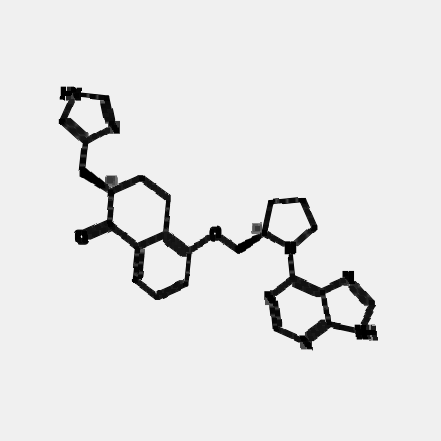 O=C1c2cccc(OC[C@H]3CCCN3c3ncnc4[nH]cnc34)c2CC[C@@H]1Cc1c[nH]cn1